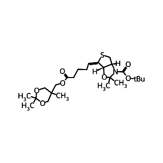 CC1(COC(=O)CCC/C=C2/SC[C@H]3[C@@H]2OC(C)(C)N3C(=O)OC(C)(C)C)COC(C)(C)OC1